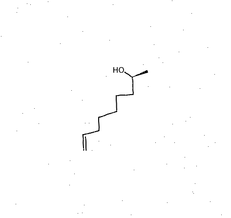 C=CCCCCC[C@H](C)O